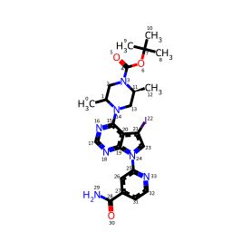 CC1CN(C(=O)OC(C)(C)C)[C@@H](C)CN1c1ncnc2c1c(I)cn2-c1cc(C(N)=O)ccn1